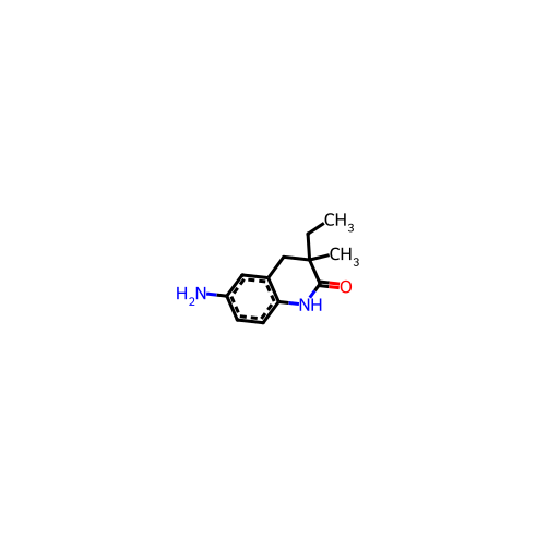 CCC1(C)Cc2cc(N)ccc2NC1=O